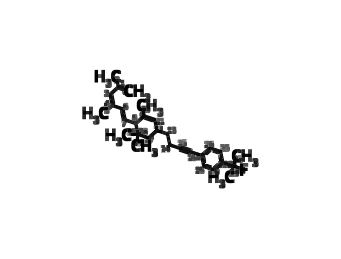 C=C(C)/C=C(C)\C=C\C1C(C)=CC(CCC#Cc2ccc(C(C)(C)F)cc2)CC1(C)C